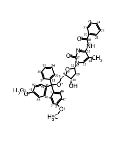 COc1ccc(C(OC[C@@H]2O[C@@H](n3cc(C)c(NC(=O)c4ccccc4)nc3=O)C[C@H]2O)(c2ccccc2)c2ccc(OC)cc2)cc1